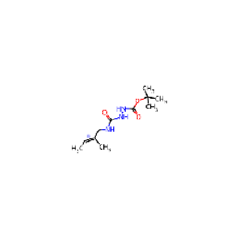 C/C=C(\C)CNC(=O)NNC(=O)OC(C)(C)C